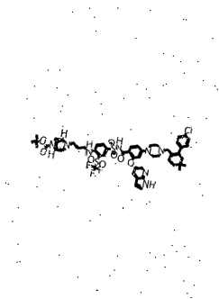 CC1(C)CCC(CN2CCN(c3ccc(C(=O)NS(=O)(=O)c4ccc(NCCCN5C[C@@H]6C[C@H]5CN6C(=O)OC(C)(C)C)c(S(=O)(=O)C(F)(F)F)c4)c(Oc4cnc5[nH]ccc5c4)c3)CC2)=C(c2ccc(Cl)cc2)C1